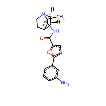 C[C@H]1[C@H](NC(=O)c2ccc(-c3cccc(N)c3)o2)C2CCN1CC2